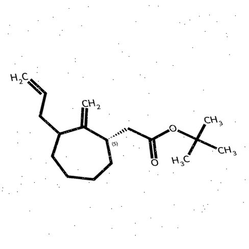 C=CCC1CCCC[C@@H](CC(=O)OC(C)(C)C)C1=C